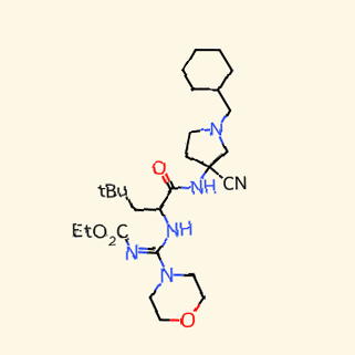 CCOC(=O)/N=C(\NC(CC(C)(C)C)C(=O)NC1(C#N)CCN(CC2CCCCC2)C1)N1CCOCC1